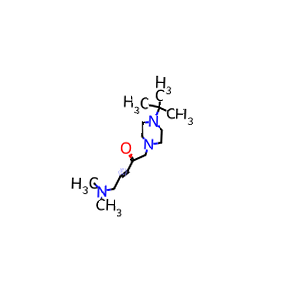 CN(C)C/C=C/C(=O)CN1CCN(C(C)(C)C)CC1